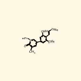 CCCn1cc(-c2cc(OC)c(C=COC)c(OC)c2)cc(C)c1=O